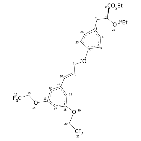 CCOC(=O)[C@H](Cc1ccc(OCC=Cc2cc(OCC(F)(F)F)cc(OCC(F)(F)F)c2)cc1)OCC